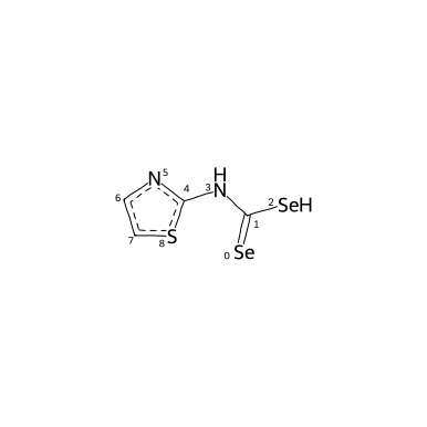 [Se]=C([SeH])Nc1nccs1